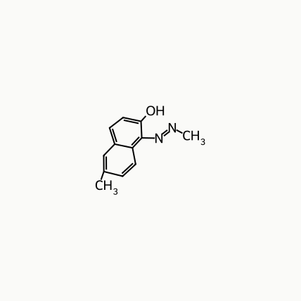 CN=Nc1c(O)ccc2cc(C)ccc12